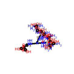 NCC1O[C@@H](O[C@@H]2C(N)C[C@@H](N)C(O)[C@H]2OC2O[C@H](CSCCNC(=O)NCCCCN(CCCCCNC(=S)Nc3ccc(C4CC5(OC4=O)c4ccc(O)cc4Oc4cc(O)ccc45)cc3)CCCNC(=S)NCCSC[C@H]3OC(O[C@@H]4C(O)[C@H](N)CC(N)[C@H]4O[C@@H]4OC(CN)[C@@H](O)[C@H](O)C4N)[C@@H](O)[C@H]3O[C@H]3O[C@@H](CN)[C@@H](O)C(O)C3N)[C@H](O[C@H]3O[C@@H](CN)[C@@H](O)C(O)C3N)[C@@H]2O)C(N)[C@@H](O)[C@@H]1O